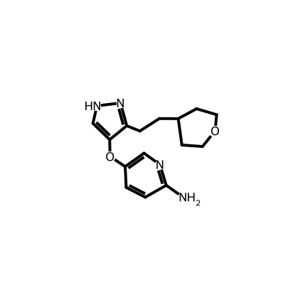 Nc1ccc(Oc2c[nH]nc2CCC2CCOCC2)cn1